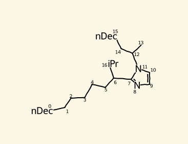 CCCCCCCCCCCCCCCC(c1nccn1C(C)CCCCCCCCCCC)C(C)C